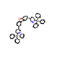 c1ccc([Si](c2ccccc2)(c2ccccc2)c2ccc(-c3ccc4oc5ccc(-c6ccc([Si](c7ccccc7)(c7ccccc7)c7ccccc7)nc6)cc5c4c3)cn2)cc1